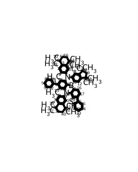 Cc1cc2c(cc1N1c3cc4c(cc3B3c5ccc6c(sc7ccccc76)c5N(c5cc6c(cc5C)C(C)(C)CCC6(C)C)c5cc(-c6ccccc6)cc1c53)C(C)(C)CC4(C)C)C(C)(C)CCC2(C)C